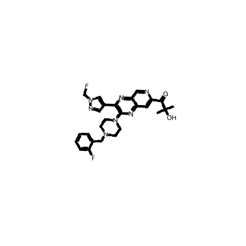 CC(C)(O)C(=O)c1cc2nc(N3CCN(Cc4ccccc4F)CC3)c(-c3cnn(CF)c3)nc2cn1